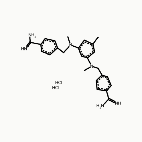 Cc1cc(N(C)Cc2ccc(C(=N)N)cc2)cc(N(C)Cc2ccc(C(=N)N)cc2)c1.Cl.Cl